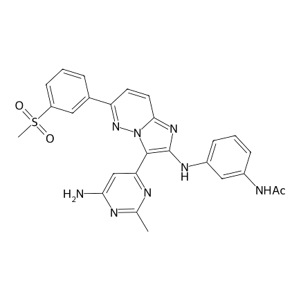 CC(=O)Nc1cccc(Nc2nc3ccc(-c4cccc(S(C)(=O)=O)c4)nn3c2-c2cc(N)nc(C)n2)c1